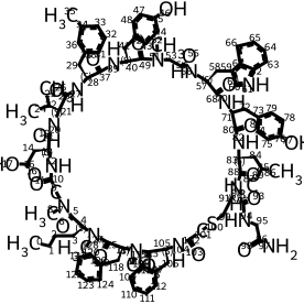 CCCC[C@H]1C(=O)N(C)CC(=O)N[C@@H](CC(=O)O)C(=O)N[C@@H](C(C)C)C(=O)N[C@@H](Cc2cccc(C)c2)C(=O)N[C@@H](Cc2ccc(O)cc2)C(=O)N(C)CC(=O)N[C@@H](Cc2c[nH]c3ccccc23)C(=O)NC(Cc2ccc(O)cc2)C(=O)N[C@@H](CC(C)C)C(=O)N[C@H](C(=O)NCC(N)=O)CSCC(=O)N[C@@H](Cc2ccccc2)C(=O)N(C)[C@@H](Cc2ccccc2)C(=O)N1C